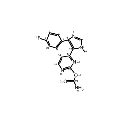 Cn1cnc(-c2ccc(F)cc2)c1-c1ccnc(OC(N)=O)n1